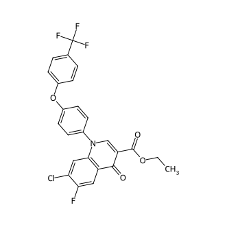 CCOC(=O)c1cn(-c2ccc(Oc3ccc(C(F)(F)F)cc3)cc2)c2cc(Cl)c(F)cc2c1=O